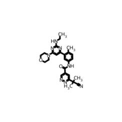 CCNc1nc(-c2cc(NC(=O)c3cnnc(C(C)(C)C#N)c3)ccc2C)cc(N2CCOCC2)n1